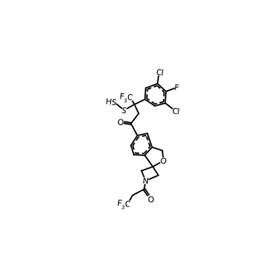 O=C(CC(SS)(c1cc(Cl)c(F)c(Cl)c1)C(F)(F)F)c1ccc2c(c1)COC21CN(C(=O)CC(F)(F)F)C1